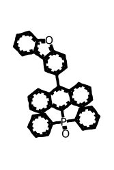 O=P(c1ccccc1)(c1ccccc1)c1c2ccccc2c(-c2ccc3oc4ccccc4c3c2)c2ccccc12